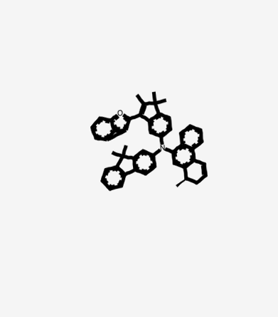 CC1=C(c2oc3cccc4c3c2-4)c2cc(N(c3ccc4c(c3)C(C)(C)c3ccccc3-4)c3cc4c(c5ccccc35)C=CC[C@H]4C)ccc2C1(C)C